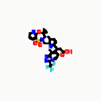 Cc1ccc(C(CC(=O)O)c2ccn3c(C(F)(F)F)nnc3c2C)nc1CN1CC2(CC2)Oc2ncccc2S1(=O)=O